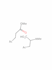 CNC(CC(C)=O)C(=O)O.COC(=O)CCC(C)=O